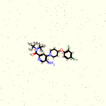 [2H]C([2H])([2H])N(C(=O)c1cc(N2CCC(Oc3ccc(F)cc3F)CC2)c(N)cn1)C([2H])([2H])[2H]